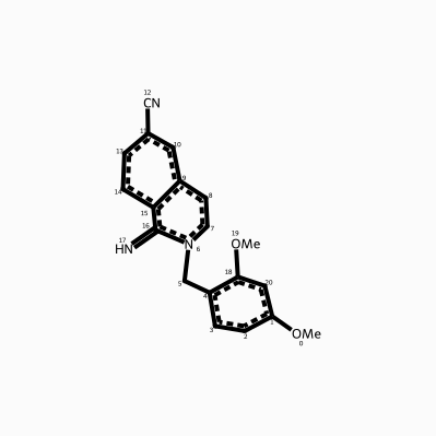 COc1ccc(Cn2ccc3cc(C#N)ccc3c2=N)c(OC)c1